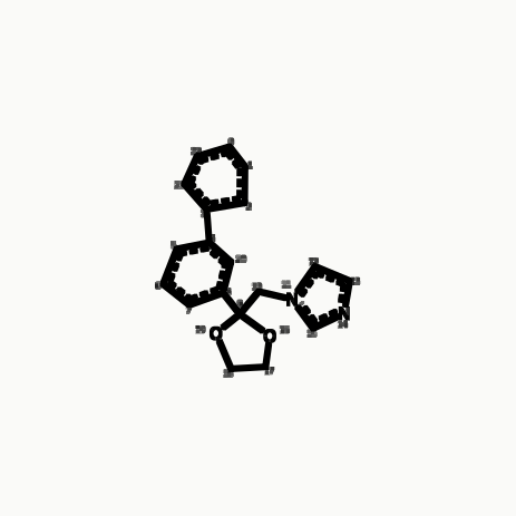 c1ccc(-c2cccc(C3(Cn4ccnc4)OCCO3)c2)cc1